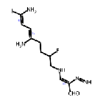 N=N/C(C=O)=C\NCC(F)CC/C(N)=C/C=C(\N)I